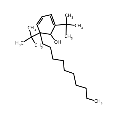 CCCCCCCCCCC1(C(C)(C)C)C=CC=C(C(C)(C)C)C1O